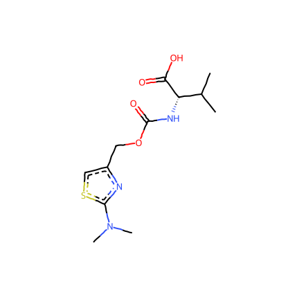 CC(C)[C@H](NC(=O)OCc1csc(N(C)C)n1)C(=O)O